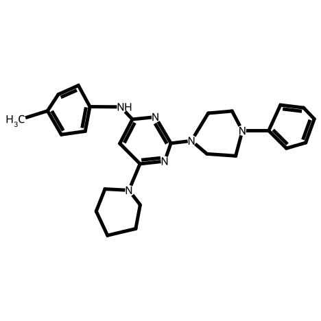 Cc1ccc(Nc2cc(N3CCCCC3)nc(N3CCN(c4ccccc4)CC3)n2)cc1